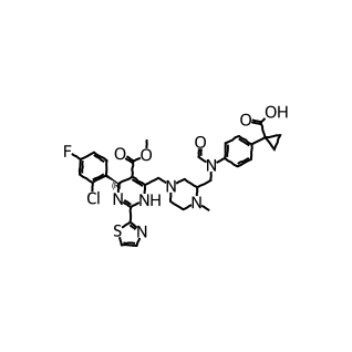 COC(=O)C1=C(CN2CCN(C)C(CN(C=O)c3ccc(C4(C(=O)O)CC4)cc3)C2)NC(c2nccs2)=N[C@H]1c1ccc(F)cc1Cl